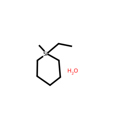 CC[Si]1(C)CCCCC1.O